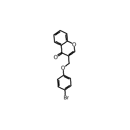 O=c1c(COc2ccc(Br)cc2)coc2ccccc12